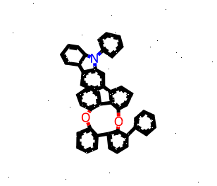 C1=CC2c3ccc(-c4cccc5c4-c4ccccc4Oc4ccccc4-c4cccc(-c6ccccc6)c4O5)cc3N(c3ccccc3)C2C=C1